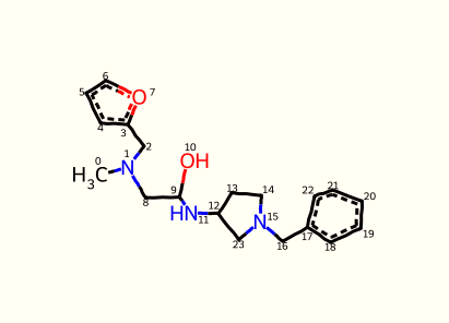 CN(Cc1ccco1)CC(O)NC1CCN(Cc2ccccc2)C1